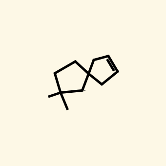 CC1(C)[CH]C2(CC=CC2)CC1